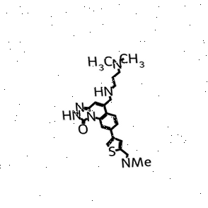 CNCc1cc(-c2ccc3c(CNCCCN(C)C)cc4n[nH]c(=O)n4c3c2)cs1